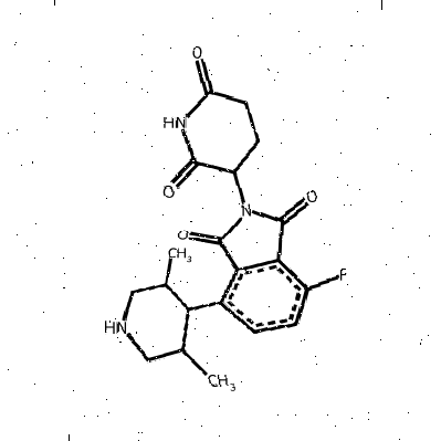 CC1CNCC(C)C1c1ccc(F)c2c1C(=O)N(C1CCC(=O)NC1=O)C2=O